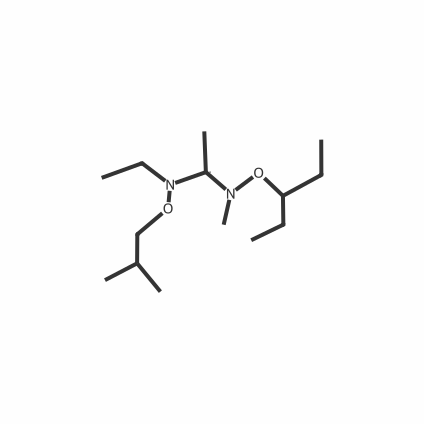 CCC(CC)ON(C)[C](C)N(CC)OCC(C)C